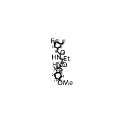 CC[C@H](NC(=O)Cc1cc(F)cc(F)c1)C(=O)Nc1nc2ccc(OC)cc2s1